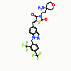 NC1(CCN2C(=O)SC(=Cc3ccc4c(cnn4Cc4ccc(C(F)(F)F)cc4C(F)(F)F)c3)C2=O)CCOCC1